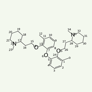 Cc1cccc(Oc2cccc(C)c2OCCC2CCCCN2C)c1OCCC1CCCCN1C